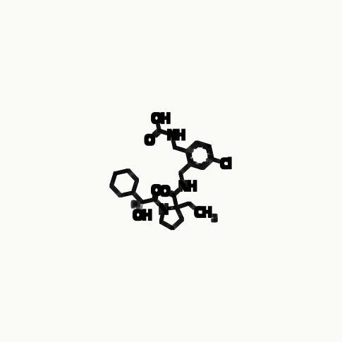 CCC1(C(=O)NCc2cc(Cl)ccc2CNC(=O)O)CCCN1C(=O)[C@H](O)C1CCCCC1